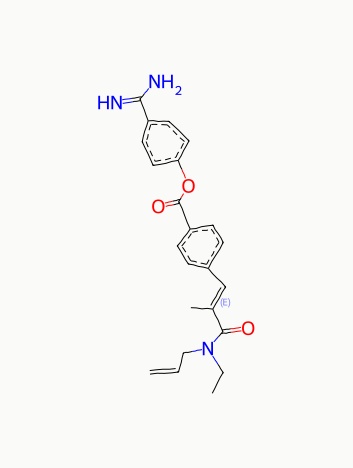 C=CCN(CC)C(=O)/C(C)=C/c1ccc(C(=O)Oc2ccc(C(=N)N)cc2)cc1